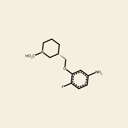 Nc1ccc(F)c(OC[C@H]2CCCN(C(=O)O)C2)c1